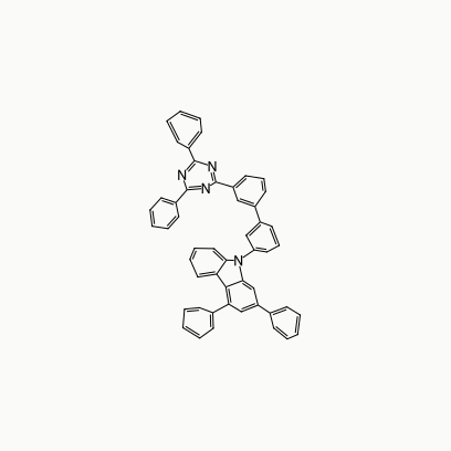 c1ccc(-c2cc(-c3ccccc3)c3c4ccccc4n(-c4cccc(-c5cccc(-c6nc(-c7ccccc7)nc(-c7ccccc7)n6)c5)c4)c3c2)cc1